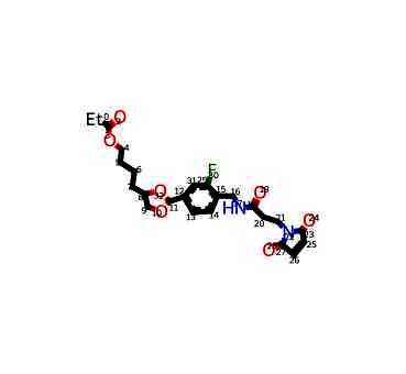 CCC(=O)OCCCCC1COC(c2ccc(CNC(=O)CCN3C(=O)C=CC3=O)c(F)c2)O1